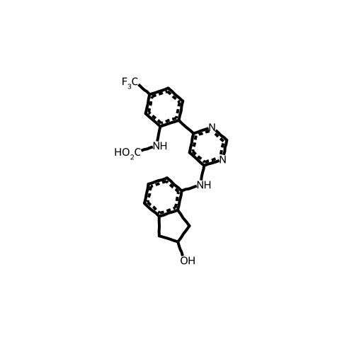 O=C(O)Nc1cc(C(F)(F)F)ccc1-c1cc(Nc2cccc3c2CC(O)C3)ncn1